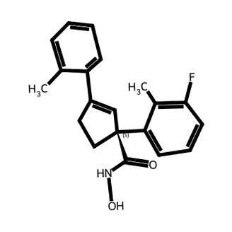 Cc1ccccc1C1=C[C@](C(=O)NO)(c2cccc(F)c2C)CC1